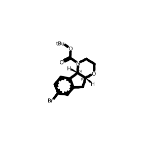 CC(C)(C)OC(=O)N1CCO[C@@H]2Cc3cc(Br)ccc3[C@@H]21